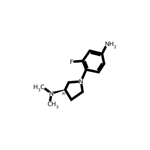 CN(C)[C@@H]1CCN(c2ccc(N)cc2F)C1